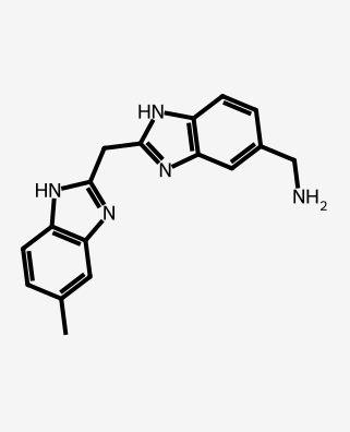 Cc1ccc2[nH]c(Cc3nc4cc(CN)ccc4[nH]3)nc2c1